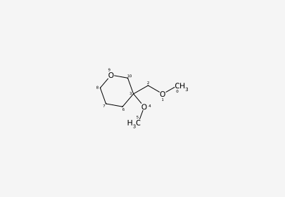 COCC1(OC)CCCOC1